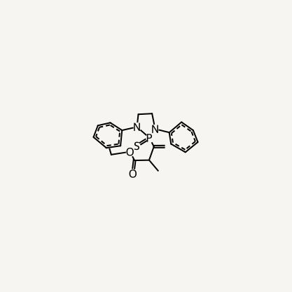 C=C(C(C)C(=O)OCC)P1(=S)N(c2ccccc2)CCN1c1ccccc1